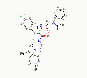 CCN1CCC(CC(C)C)(N2CCN(C(=O)C(Cc3ccc(Cl)cc3)NC(=O)CC3NCc4ccccc43)CC2)CC1